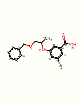 CC(COCc1ccccc1)Oc1cc(Br)cc(C(=O)O)c1